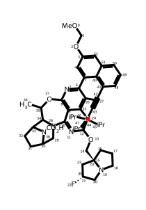 COCOc1cc(-c2nc3c4c(nc(OC[C@@]56CCCN5C[C@H](F)C6)nc4c2F)N2CC4CCC(C2C(C)O3)N4C(=O)O)c2c(C#C[Si](C(C)C)(C(C)C)C(C)C)cccc2c1